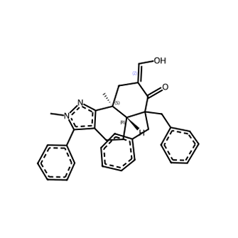 Cn1nc2c(c1-c1ccccc1)CC[C@H]1C(Cc3ccccc3)(Cc3ccccc3)C(=O)/C(=C\O)C[C@]21C